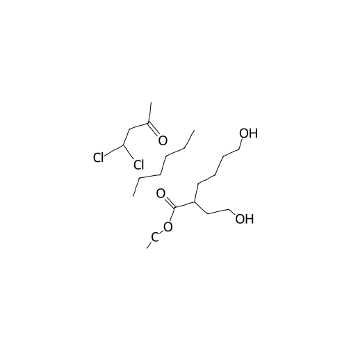 CC(=O)CC(Cl)Cl.CCCCCC.CCOC(=O)C(CCO)CCCCO